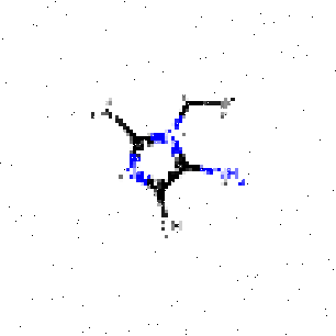 CCCc1nc(C#N)c(N)n1CC(C)C